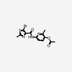 CC(=O)Oc1ccc(NC(=O)c2nc(C)sc2Br)nc1C